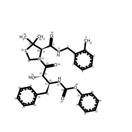 Cc1ccccc1CNC(=O)[C@H]1N(C(=O)[C@@H](O)[C@H](Cc2ccccc2)NC(=O)Oc2ccccc2)CSC1(C)C